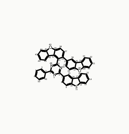 c1ccc(-c2nc(-c3ccc4sc5ccccc5c4c3)nc(-c3c(-c4ccc5oc6ccccc6c5c4)ccc4oc5ccccc5c34)n2)cc1